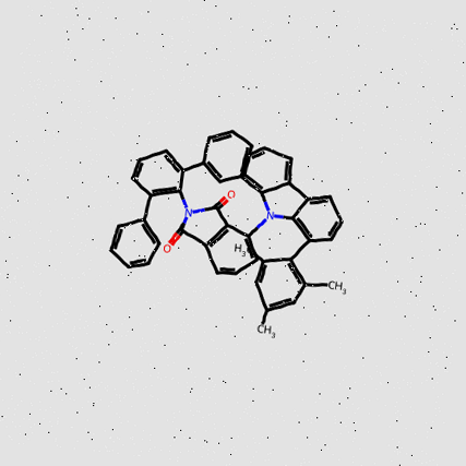 Cc1cc(C)c(-c2cccc3c4ccccc4n(-c4cccc5c4C(=O)N(c4c(-c6ccccc6)cccc4-c4ccccc4)C5=O)c23)c(C)c1